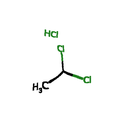 CC(Cl)Cl.Cl